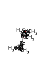 C[C@@H]1CC[C@H]2[C@@H](C)[C@](OCCCCCOCC3=C(C(F)(F)F)O[C@@H]4O[C@]5(C)CC[C@H]6[C@H](C)CC[C@@H]3[C@@]46O5)(C(F)(F)F)O[C@@H]3O[C@]4(C)CC[C@@H]1[C@]32OO4